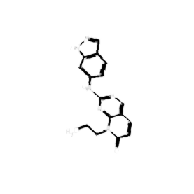 CCCn1c(=O)ccc2cnc(Nc3ccc4cn[nH]c4c3)nc21